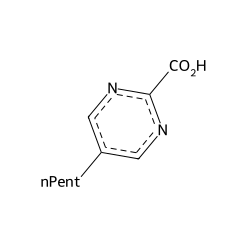 CCCCCc1cnc(C(=O)O)nc1